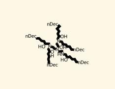 CCCCCCCCCCCCCCC(O)CNCCN(CCN(CC(O)CCCCCCCCCCCCCC)CC(O)CCCCCCCCCCCCCC)CCN(CC(O)CCCCCCCCCCCCCC)CC(O)CCCCCCCCCCCCCC